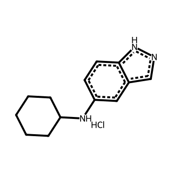 Cl.c1cc2[nH]ncc2cc1NC1CCCCC1